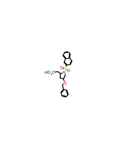 O=C(O)CC1CC(OCc2ccccc2)CN1S(=O)(=O)c1ccc2ccccc2c1